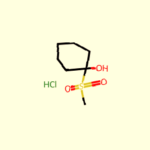 CS(=O)(=O)C1(O)CCCCC1.Cl